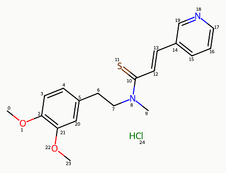 COc1ccc(CCN(C)C(=S)C=Cc2cccnc2)cc1OC.Cl